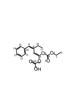 CCOC(=O)OC(=CC(=Cc1ccccc1)CC)OC(=O)O